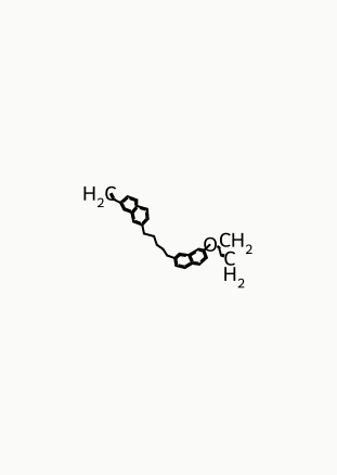 C=CC(=C)Oc1ccc2ccc(CCCCCc3ccc4ccc(C=C)cc4c3)cc2c1